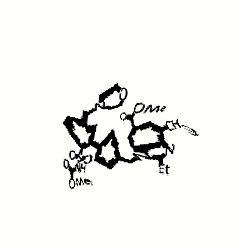 CCc1nc2c(C)cc(C(=O)OC)cc2n1Cc1ccc(-c2cc(CN3CCOCC3)ccc2S(=O)(=O)NC(=O)OC)cc1